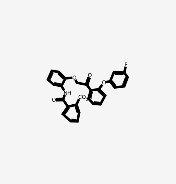 O=C(COc1ccccc1NC(=O)c1ccccc1C(=O)O)c1ccccc1Oc1cccc(F)c1